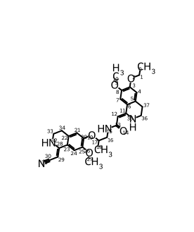 CCOc1cc2c(cc1OC)/C(=C/C(=O)NCC(C)Oc1cc3c(cc1OC)/C(=C/C#N)NCC3)NCC2